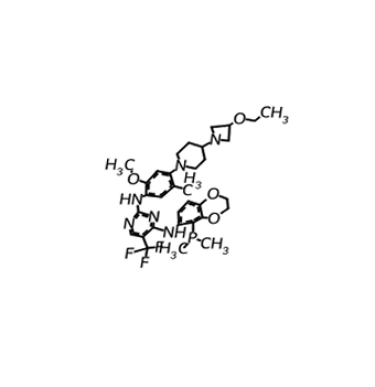 CCOC1CN(C2CCN(c3cc(OC)c(Nc4ncc(C(F)(F)F)c(Nc5ccc6c(c5P(C)C)OCCO6)n4)cc3C)CC2)C1